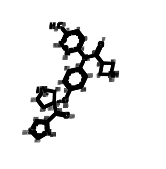 Cc1ccc(N(C(=O)C2CNC2)c2ccc(O[C@]3(C(=O)c4cscn4)CCNC3)cc2)nn1